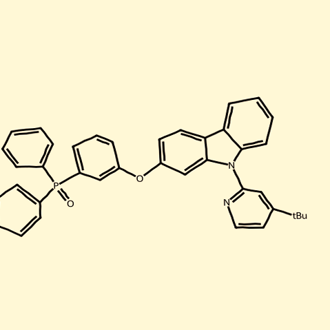 CC(C)(C)c1ccnc(-n2c3ccccc3c3ccc(Oc4cccc(P(=O)(c5ccccc5)c5ccccc5)c4)cc32)c1